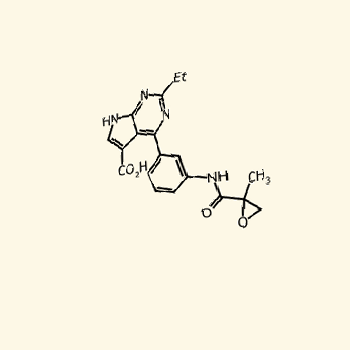 CCc1nc(-c2cccc(NC(=O)C3(C)CO3)c2)c2c(C(=O)O)c[nH]c2n1